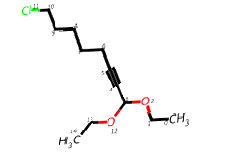 CCOC(C#CCCCCCCl)OCC